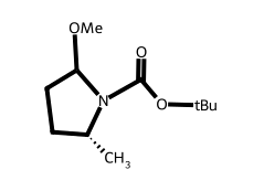 COC1CC[C@@H](C)N1C(=O)OC(C)(C)C